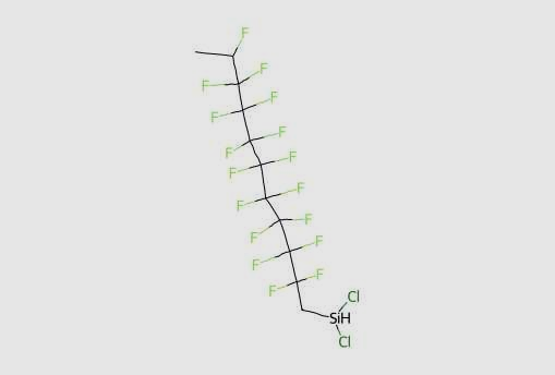 CC(F)C(F)(F)C(F)(F)C(F)(F)C(F)(F)C(F)(F)C(F)(F)C(F)(F)C(F)(F)C[SiH](Cl)Cl